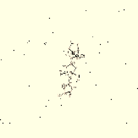 CCOC(=O)N1C2CCC1CC(N1C[C@@H]3C(c4csc(C)n4)[C@@H]3C1)C2